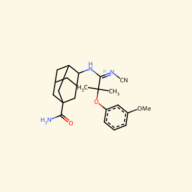 COc1cccc(OC(C)(C)/C(=N\C#N)NC2C3CC4CC2CC(C(N)=O)(C4)C3)c1